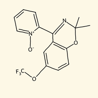 CC1(C)N=C(c2cccc[n+]2[O-])c2cc(OC(F)(F)F)ccc2O1